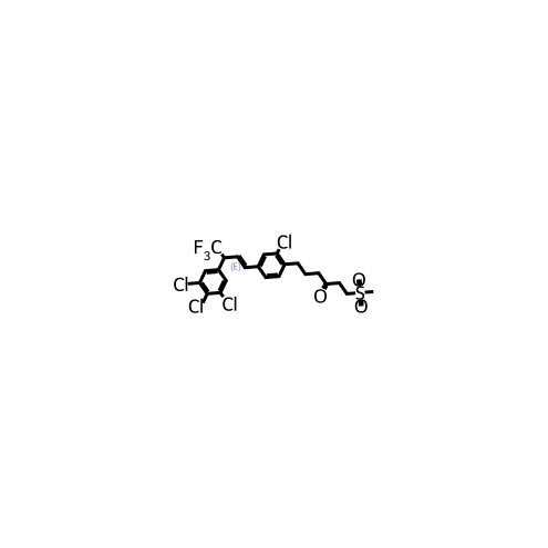 CS(=O)(=O)CCC(=O)CCCc1ccc(/C=C/C(c2cc(Cl)c(Cl)c(Cl)c2)C(F)(F)F)cc1Cl